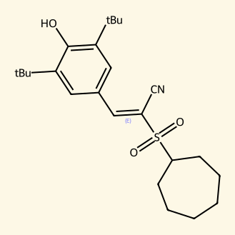 CC(C)(C)c1cc(/C=C(\C#N)S(=O)(=O)C2CCCCCC2)cc(C(C)(C)C)c1O